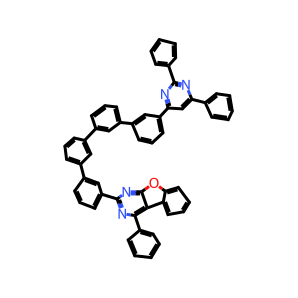 c1ccc(-c2cc(-c3cccc(-c4cccc(-c5cccc(-c6cccc(-c7nc(-c8ccccc8)c8c(n7)oc7ccccc78)c6)c5)c4)c3)nc(-c3ccccc3)n2)cc1